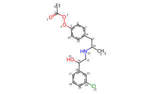 CCC(=O)OOc1ccc(CC(C)NCC(O)c2cccc(Cl)c2)cc1